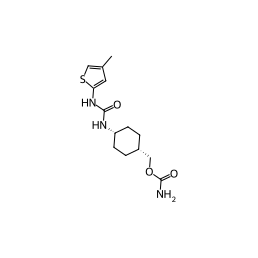 Cc1csc(NC(=O)N[C@H]2CC[C@@H](COC(N)=O)CC2)c1